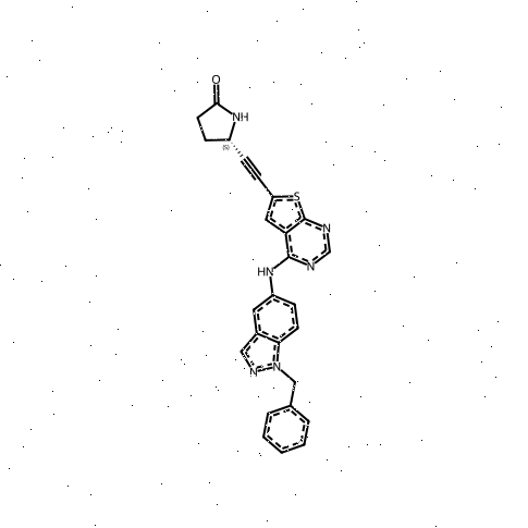 O=C1CC[C@@H](C#Cc2cc3c(Nc4ccc5c(cnn5Cc5ccccc5)c4)ncnc3s2)N1